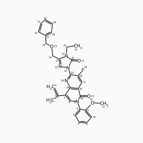 C=C(C)c1cn(-c2ccccc2OC)c(=O)c2cc(F)c(-n3nc(COCc4ccccc4)n(CC)c3=O)nc12